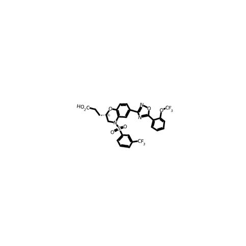 O=C(O)CC[C@H]1CN(S(=O)(=O)c2cccc(C(F)(F)F)c2)c2cc(-c3noc(-c4ccccc4OC(F)(F)F)n3)ccc2O1